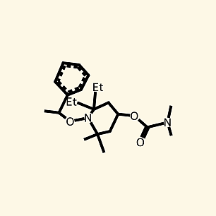 CCC1(CC)CC(OC(=O)N(C)C)CC(C)(C)N1OC(C)c1ccccc1